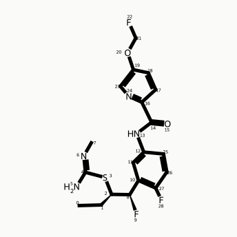 CC[C@@H](S/C(N)=N\C)[C@H](F)c1cc(NC(=O)c2ccc(OCF)cn2)ccc1F